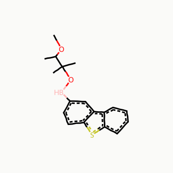 COC(C)C(C)(C)OBc1ccc2sc3ccccc3c2c1